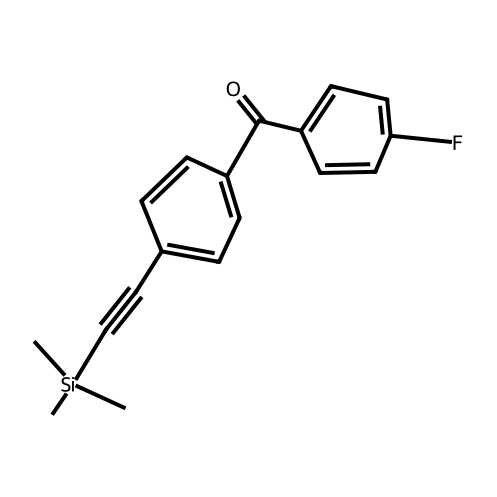 C[Si](C)(C)C#Cc1ccc(C(=O)c2ccc(F)cc2)cc1